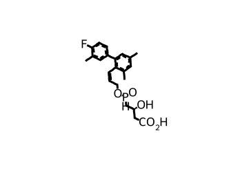 Cc1cc(C)c(/C=C\CO[PH](=O)C[C@@H](O)CC(=O)O)c(-c2ccc(F)c(C)c2)c1